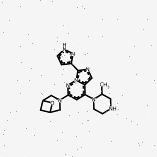 CC1CNCCN1c1cc(N2CC3CC(C2)O3)nn2c(-c3cc[nH]n3)ncc12